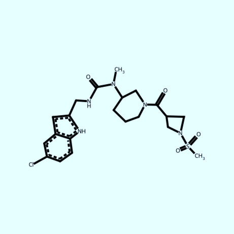 CN(C(=O)NCc1cc2cc(Cl)ccc2[nH]1)C1CCCN(C(=O)C2CN(S(C)(=O)=O)C2)C1